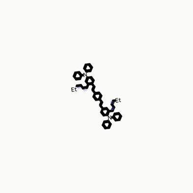 CC/C=C\C=C/c1cc(N(c2ccccc2)c2ccccc2)ccc1C=Cc1ccc(C=Cc2ccc(N(c3ccccc3)c3ccccc3)c(/C=C\C=C/CC)c2)cc1